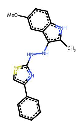 COc1ccc2[nH]c(C)c(NNc3nc(-c4ccccc4)cs3)c2c1